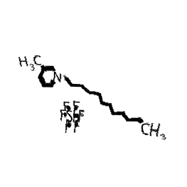 CCCCCCCCCCCC[n+]1cccc(C)c1.[F][Sb-]([F])([F])([F])([F])[F]